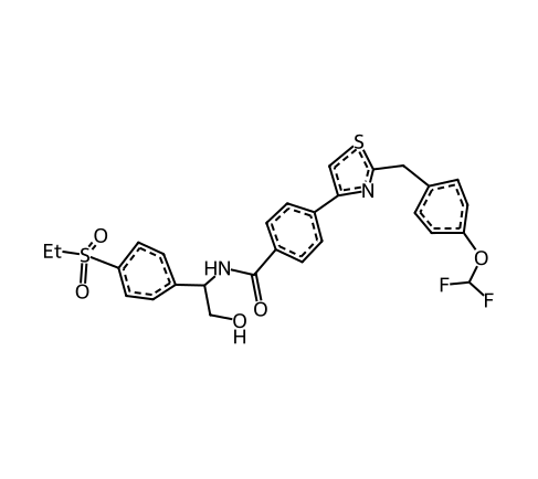 CCS(=O)(=O)c1ccc(C(CO)NC(=O)c2ccc(-c3csc(Cc4ccc(OC(F)F)cc4)n3)cc2)cc1